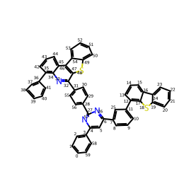 c1ccc(-c2cc(-c3cccc(-c4cccc5c4sc4ccccc45)c3)nc(-c3ccc(-c4nc5c(-c6ccccc6)cccc5c5c4sc4ccccc45)cc3)n2)cc1